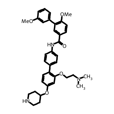 COc1cccc(-c2cc(C(=O)Nc3ccc(-c4ccc(OC5CCNCC5)cc4OCCN(C)C)cc3)ccc2OC)c1